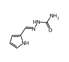 NC(=O)NN=Cc1ccc[nH]1